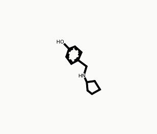 Oc1ccc(CNC2CCCC2)cc1